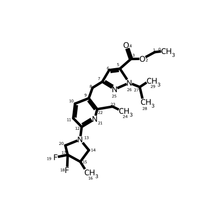 CCOC(=O)c1cc(Cc2ccc(N3CC(C)C(F)(F)C3)nc2CC)nn1C(C)C